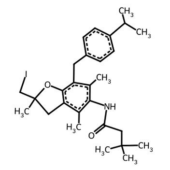 Cc1c(Cc2ccc(C(C)C)cc2)c2c(c(C)c1NC(=O)CC(C)(C)C)CC(C)(CI)O2